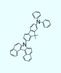 CC1(C)c2cc(N(c3ccccc3)c3ccccc3)ccc2-c2ccc(-n3c4ccc5ccccc5c4c4c5ccccc5ccc43)cc21